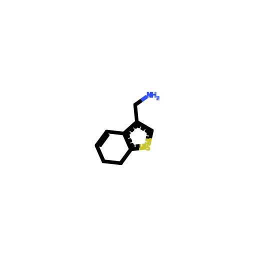 NCc1csc2c1C=CCC2